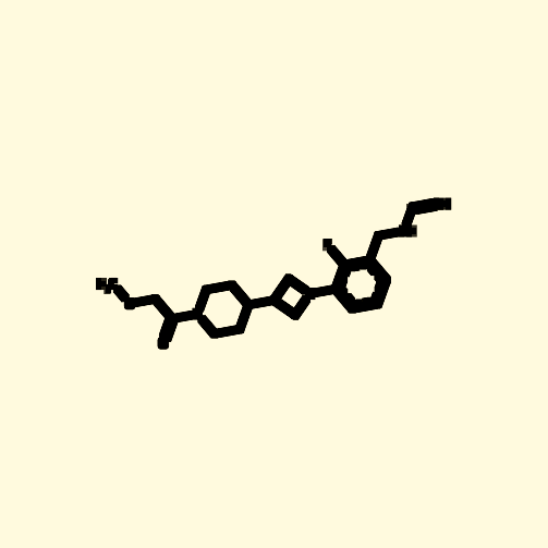 COCC(=O)N1CCC(C2CN(c3cccc(CN[C]=N)c3F)C2)CC1